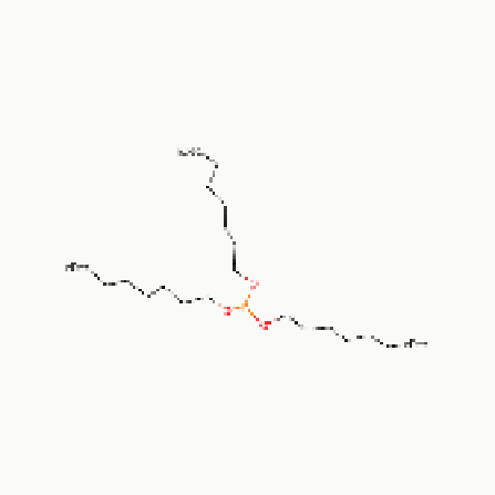 CCCCCCCCCCCCCCCCOP(OCCCCCCCCCCCCCCCC)OCCCCCCCCCCCCCCCC